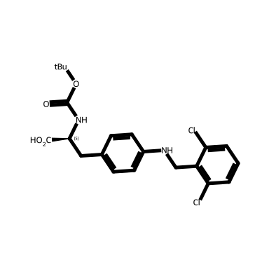 CC(C)(C)OC(=O)N[C@@H](Cc1ccc(NCc2c(Cl)cccc2Cl)cc1)C(=O)O